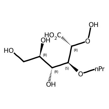 CCCO[C@@H]([C@H](O)[C@H](O)CO)[C@@H](OO)C(=O)O